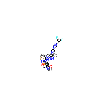 CCc1cc(Nc2ncc(Br)c(Nc3ccc4c(=O)n(CC)ncc4c3P(C)(C)=O)n2)c(OC)cc1N1CCC(N2CCN(CCc3cc(F)cc(F)c3)CC2)CC1